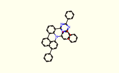 c1ccc(-c2nc(-c3ccccc3)nc(-c3cccc4c3N(c3ccccc3)c3ccc(-c5ccccc5)c5cccc-4c35)n2)cc1